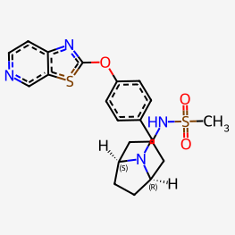 CS(=O)(=O)NC1C[C@H]2CC[C@@H](C1)N2Cc1ccc(Oc2nc3ccncc3s2)cc1